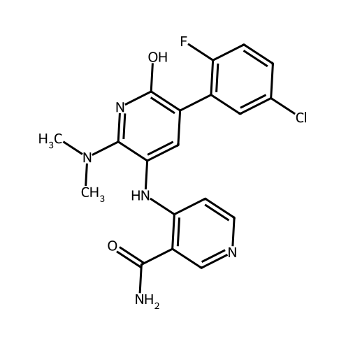 CN(C)c1nc(O)c(-c2cc(Cl)ccc2F)cc1Nc1ccncc1C(N)=O